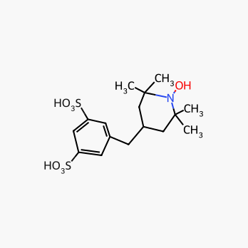 CC1(C)CC(Cc2cc(S(=O)(=O)O)cc(S(=O)(=O)O)c2)CC(C)(C)N1O